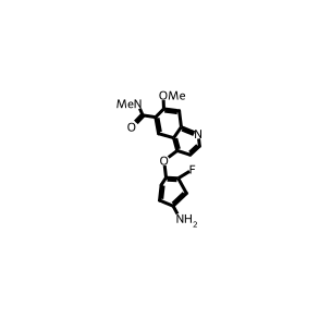 CNC(=O)c1cc2c(Oc3ccc(N)cc3F)ccnc2cc1OC